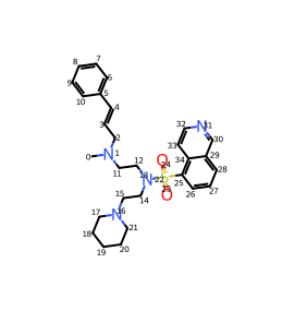 CN(CC=Cc1ccccc1)CCN(CCN1CCCCC1)S(=O)(=O)c1cccc2cnccc12